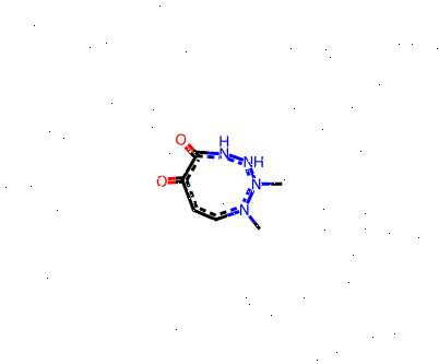 Cn1ccc(=O)c(=O)[nH][nH]n1C